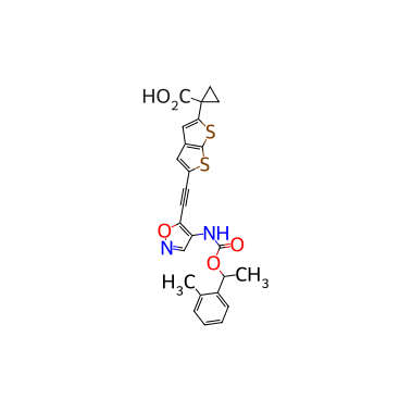 Cc1ccccc1C(C)OC(=O)Nc1cnoc1C#Cc1cc2cc(C3(C(=O)O)CC3)sc2s1